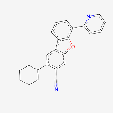 N#Cc1cc2oc3c(-c4ccccn4)cccc3c2cc1C1CCCCC1